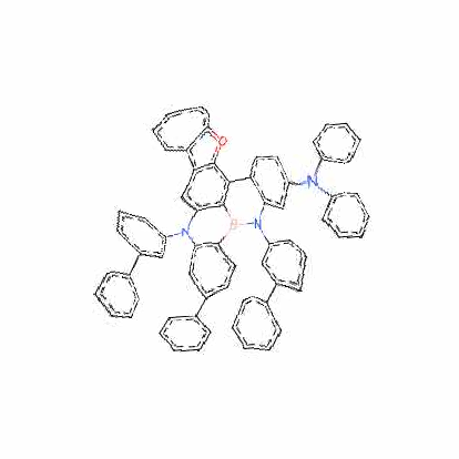 c1ccc(-c2cccc(N3B4c5ccc(-c6ccccc6)cc5N(c5cccc(-c6ccccc6)c5)c5cc6c(oc7ccccc76)c(c54)-c4ccc(N(c5ccccc5)c5ccccc5)cc43)c2)cc1